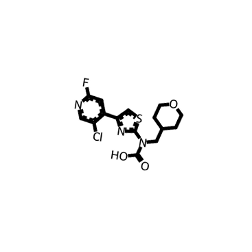 O=C(O)N(CC1CCOCC1)c1nc(-c2cc(F)ncc2Cl)cs1